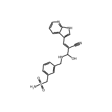 N#C/C(=C\c1c[nH]c2ncccc12)C(O)NCc1cccc(CS(N)(=O)=O)c1